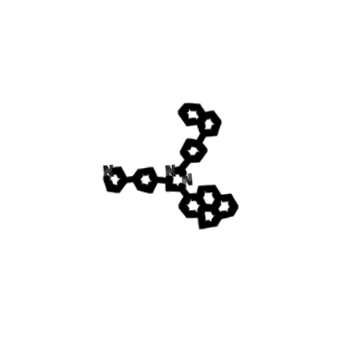 c1cncc(-c2ccc(-c3cc(-c4ccc5ccc6cccc7ccc4c5c67)nc(-c4ccc(-c5cccc6ccccc56)cc4)n3)cc2)c1